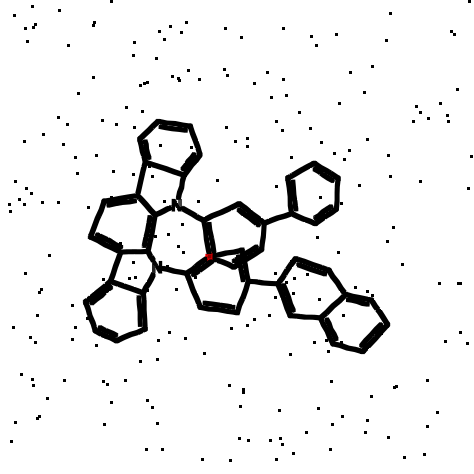 c1ccc(-c2cccc(-n3c4ccccc4c4ccc5c6ccccc6n(-c6ccc(-c7ccc8ccccc8c7)cc6)c5c43)c2)cc1